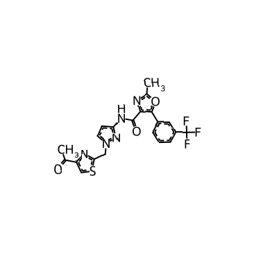 CC(=O)c1csc(Cn2ccc(NC(=O)c3nc(C)oc3-c3cccc(C(F)(F)F)c3)n2)n1